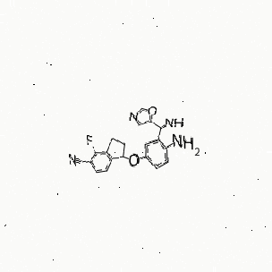 N#Cc1ccc2c(c1F)CCC2Oc1ccc(N)c(C(=N)c2cnco2)c1